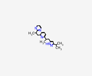 CC(C)c1cc(CC(C)c2cccc(CC(C)c3ncccn3)n2)[nH]n1